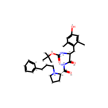 Cc1cc(O)cc(C)c1CC(NC(=O)OC(C)(C)C)C(=O)NC(=O)[C@@H]1CCCN1CCCc1ccccc1